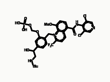 COc1ccc(C(=O)Nc2c(Cl)cncc2Cl)c2ccc(C(F)(F)F)[n+](Cc3ccc(C(O)CNC(C)(C)C)cc3OCOP(=O)(O)O)c12